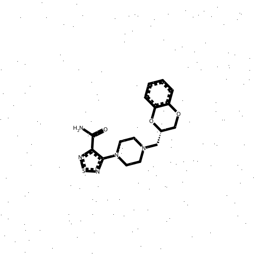 NC(=O)c1nsnc1N1CCN(C[C@H]2COc3ccccc3O2)CC1